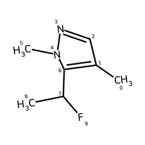 Cc1cnn(C)c1C(C)F